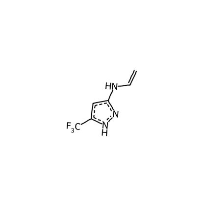 C=CNc1cc(C(F)(F)F)[nH]n1